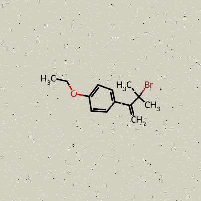 C=C(c1ccc(OCC)cc1)C(C)(C)Br